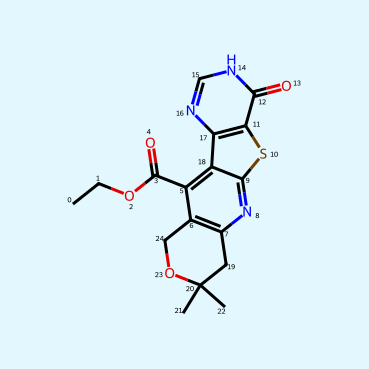 CCOC(=O)c1c2c(nc3sc4c(=O)[nH]cnc4c13)CC(C)(C)OC2